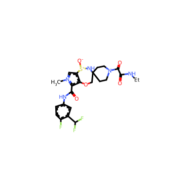 CCNC(=O)C(=O)N1CCC2(CC1)COc1c(cn(C)c1C(=O)Nc1ccc(F)c(C(F)F)c1)[S+]([O-])N2